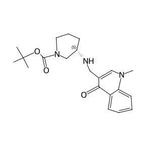 Cn1cc(CN[C@H]2CCCN(C(=O)OC(C)(C)C)C2)c(=O)c2ccccc21